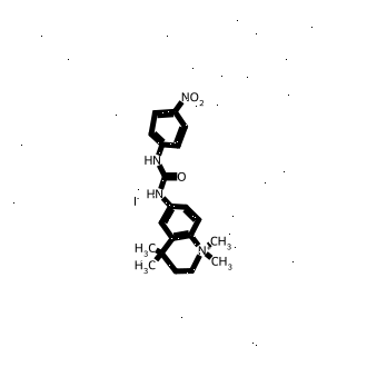 CC1(C)CC[N+](C)(C)c2ccc(NC(=O)Nc3ccc([N+](=O)[O-])cc3)cc21.[I-]